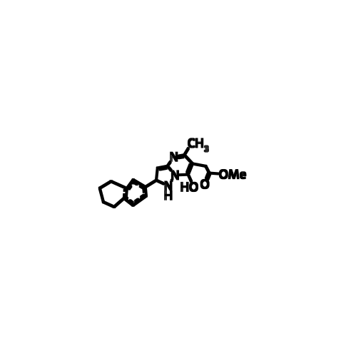 COC(=O)CC1=C(O)N2NC(c3ccc4c(c3)CCCC4)C=C2N=C1C